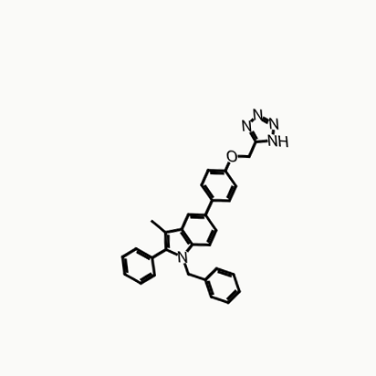 Cc1c(-c2ccccc2)n(Cc2ccccc2)c2ccc(-c3ccc(OCc4nnn[nH]4)cc3)cc12